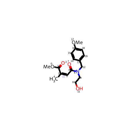 COC(=O)/C(C)=C\C(=O)N(CCO)Cc1ccc(OC)cc1